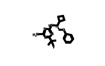 CC(C)(F)c1nc(N)nc(N[C@@H](COc2ccccc2)C2CCC2)n1